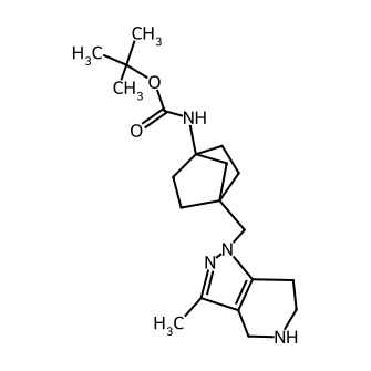 Cc1nn(CC23CCC(NC(=O)OC(C)(C)C)(CC2)C3)c2c1CNCC2